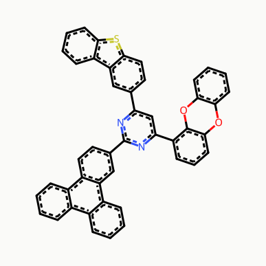 c1ccc2c(c1)Oc1cccc(-c3cc(-c4ccc5sc6ccccc6c5c4)nc(-c4ccc5c6ccccc6c6ccccc6c5c4)n3)c1O2